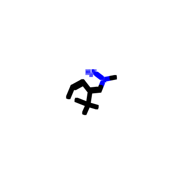 C/C=C\C(=C/N(C)N)C(C)(C)C